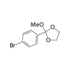 COC1(c2ccc(Br)cc2)OCCO1